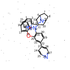 c1ccc(CN2C3CCC2CC(N2c4ccccc4Oc4cc(-c5ccncc5)ccc42)C3)nc1